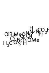 COc1nc(NCCN(C(=O)O)C(C)C)nc(OC)c1NC(=O)c1csc(Oc2cc(OCC(C)C)ccc2C)n1